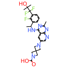 Cc1nc(NC(C)c2cccc(C(F)(F)C(C)(C)O)c2F)c2cc(N3CC4(CN(C(=O)O)C4)C3)cnc2n1